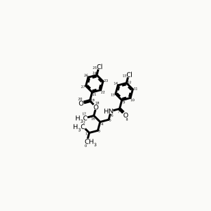 CC(C)CC(CNC(=O)c1ccc(Cl)cc1)C(C)OC(=O)c1ccc(Cl)cc1